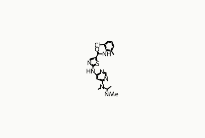 CNC(C)N(C)c1cc(Nc2ncc(C(=O)Nc3c(C)cccc3Cl)s2)ncn1